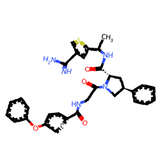 CC(NC(=O)[C@@H]1C[C@@H](c2ccccc2)CN1C(=O)CNC(=O)c1ccc(Oc2ccccc2)cc1)c1cc(C(=N)N)cs1